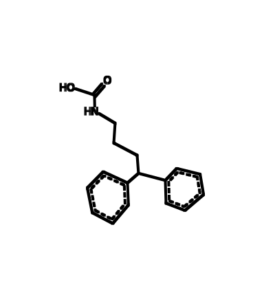 O=C(O)NCCCC(c1ccccc1)c1ccccc1